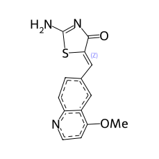 COc1ccnc2ccc(/C=C3\SC(N)=NC3=O)cc12